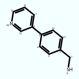 SCc1ccc(-c2cccnc2)cc1